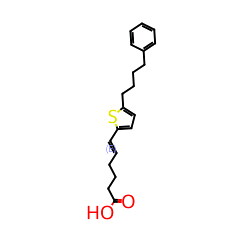 O=C(O)CCC/C=C/c1ccc(CCCCc2ccccc2)s1